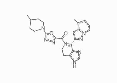 Cc1cccn2nc([C@@H]3c4nc[nH]c4CCN3C(=O)c3nnc(N4CCC(C)CC4)o3)cc12